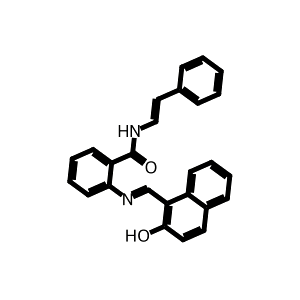 O=C(NC=Cc1ccccc1)c1ccccc1N=Cc1c(O)ccc2ccccc12